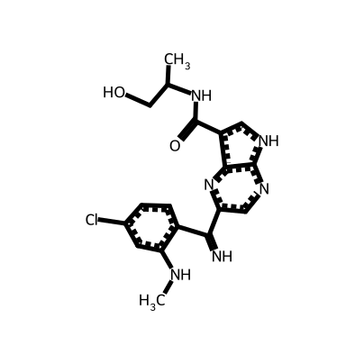 CNc1cc(Cl)ccc1C(=N)c1cnc2[nH]cc(C(=O)NC(C)CO)c2n1